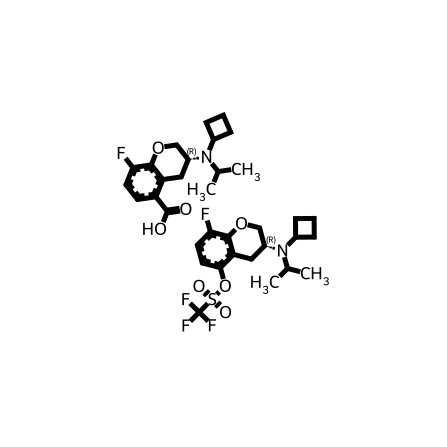 CC(C)N(C1CCC1)[C@H]1COc2c(F)ccc(C(=O)O)c2C1.CC(C)N(C1CCC1)[C@H]1COc2c(F)ccc(OS(=O)(=O)C(F)(F)F)c2C1